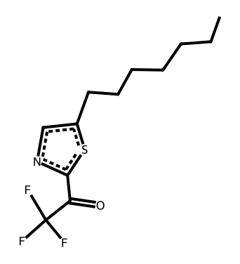 CCCCCCCc1cnc(C(=O)C(F)(F)F)s1